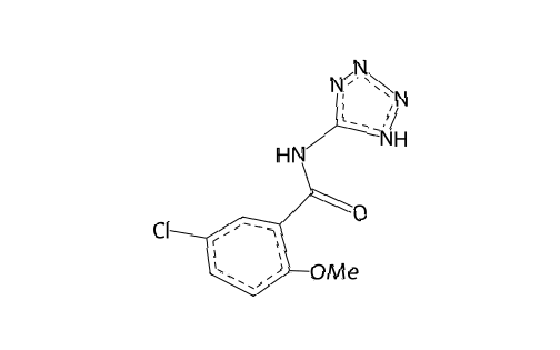 COc1ccc(Cl)cc1C(=O)Nc1nnn[nH]1